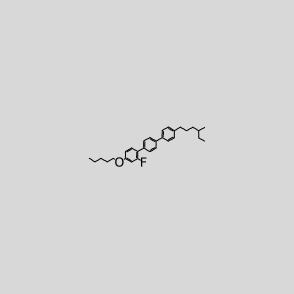 CCCCCOc1ccc(-c2ccc(-c3ccc(CCCC(C)CC)cc3)cc2)c(F)c1